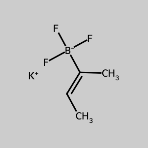 C/C=C(\C)[B-](F)(F)F.[K+]